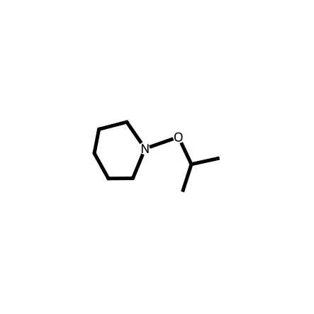 CC(C)ON1CCCCC1